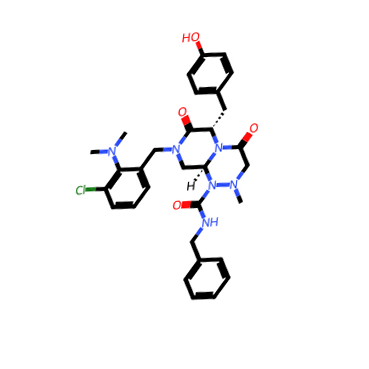 CN(C)c1c(Cl)cccc1CN1C[C@H]2N(C(=O)CN(C)N2C(=O)NCc2ccccc2)[C@@H](Cc2ccc(O)cc2)C1=O